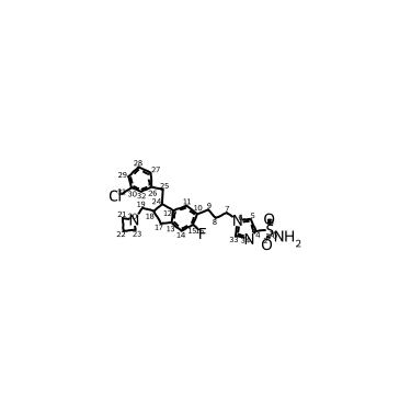 NS(=O)(=O)c1cn(CCCc2cc3c(cc2F)CC(CN2CCC2)C3Cc2cccc(Cl)c2)cn1